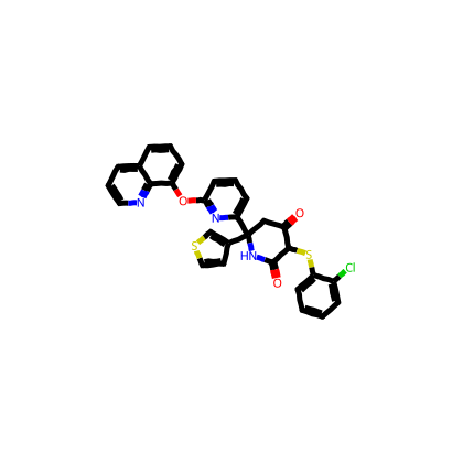 O=C1CC(c2ccsc2)(c2cccc(Oc3cccc4cccnc34)n2)NC(=O)C1Sc1ccccc1Cl